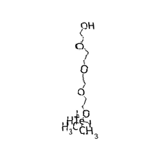 C[TeH](C)(I)(I)OCCOCCOCCOCCO